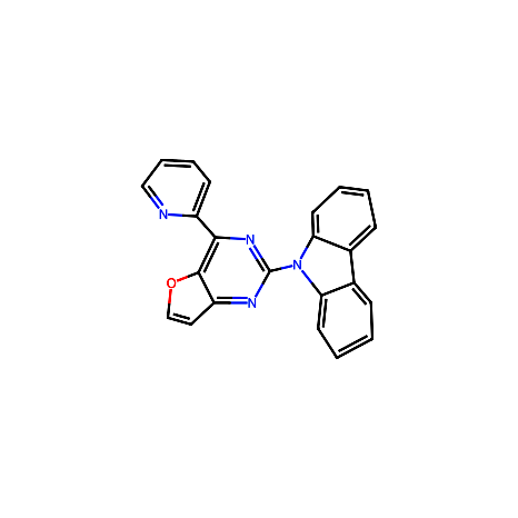 c1ccc(-c2nc(-n3c4ccccc4c4ccccc43)nc3ccoc23)nc1